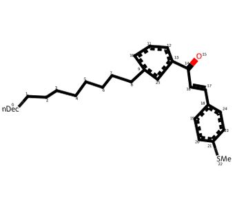 CCCCCCCCCCCCCCCCCCc1cccc(C(=O)C=Cc2ccc(SC)cc2)c1